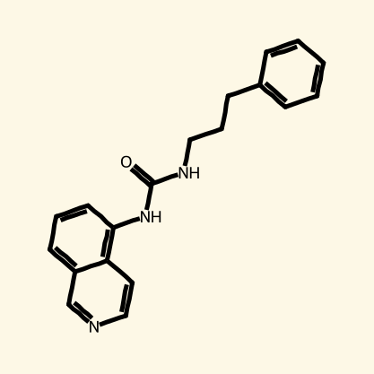 O=C(NCCCc1ccccc1)Nc1cccc2cnccc12